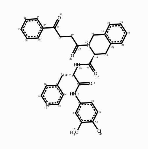 Cc1cc(NC(=O)[C@H](Cc2ccncc2)NC(=O)[C@@H]2Cc3ccccc3CN2C(=O)CCC(=O)c2ccccc2)ccc1Cl